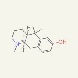 CN1CCC[C@H]2[C@H]1Cc1ccc(O)cc1C2(C)C